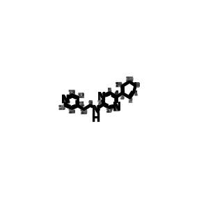 [CH]1C=CC(c2cnc(NCCc3ccncc3)cn2)=CC1